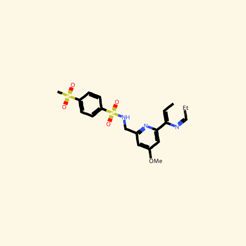 C/C=C(\N=C/CC)c1cc(OC)cc(CNS(=O)(=O)c2ccc(S(C)(=O)=O)cc2)n1